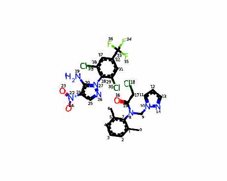 Cc1cccc(C)c1N(Cn1cccn1)C(=O)CCl.Nc1c([N+](=O)[O-])cnn1-c1c(Cl)cc(C(F)(F)F)cc1Cl